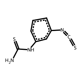 NC(=S)Nc1cccc(N=C=S)c1